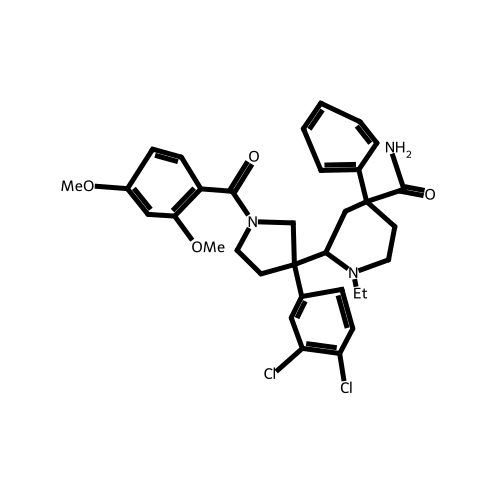 CCN1CCC(C(N)=O)(c2ccccc2)CC1C1(c2ccc(Cl)c(Cl)c2)CCN(C(=O)c2ccc(OC)cc2OC)C1